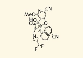 COc1nc(C#N)cc2c1[C@]1(O)[C@H](O)[C@H](CN3CC(C(F)F)C3)[C@@H](c3ccccc3)[C@]1(c1ccc(C#N)cc1)O2